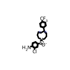 Nc1ccc([S@@+]([O-])N2CC/C=C/C(c3ccc(C(F)(F)F)cc3)=C\CC2)cc1Cl